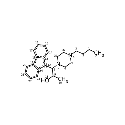 CCCCN1CCN(C(C(C)O)n2c3ccccc3c3ccccc32)CC1